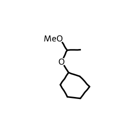 [CH2]OC(C)OC1CCCCC1